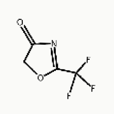 O=C1COC(C(F)(F)F)=N1